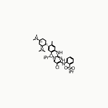 Cc1cc(Nc2ncc(Cl)c(Nc3ccccc3S(=O)(=O)C(C)C)n2)c(OC(C)C)cc1[C@H]1CC[C@H](N(C)C)C[C@@H]1N(C)C